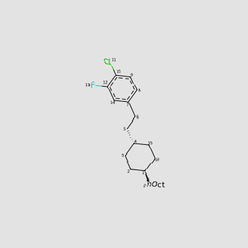 CCCCCCCC[C@H]1CC[C@H](CCc2ccc(Cl)c(F)c2)CC1